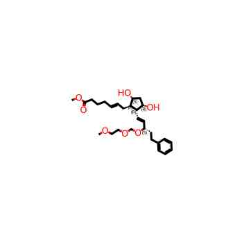 COCCOCO[C@H](C=C[C@@H]1[C@@H](CC=CCCCC(=O)OC)[C@@H](O)C[C@H]1O)CCc1ccccc1